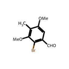 COc1cc(C=O)c(Br)c(OC)c1C